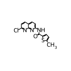 Cc1ccc(C(=O)Nc2ccc3ccc(Cl)nc3n2)s1